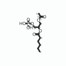 CCCCCC(=O)OC(COC(C)=O)COP(=O)(O)O